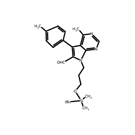 Cc1ccc(-c2c(C=O)n(CCCO[Si](C)(C)C(C)(C)C)c3ncnc(C)c23)cc1